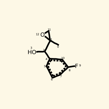 CC1(C(O)c2cccc(F)c2)CO1